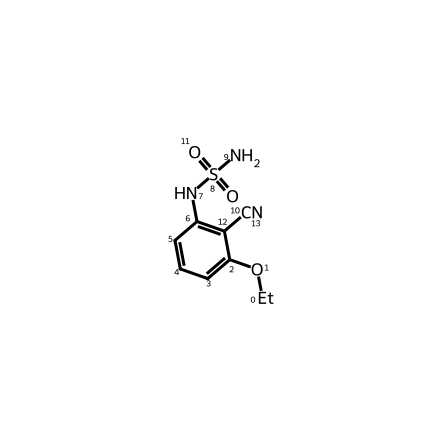 CCOc1cccc(NS(N)(=O)=O)c1C#N